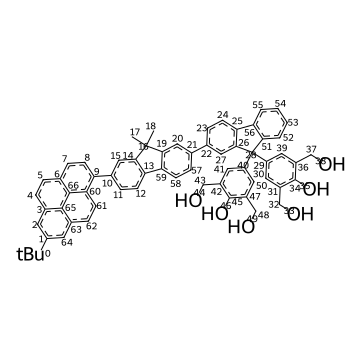 CC(C)(C)c1cc2ccc3ccc(-c4ccc5c(c4)C(C)(C)c4cc(-c6ccc7c(c6)C(c6cc(CO)c(O)c(CO)c6)(c6cc(CO)c(O)c(CO)c6)c6ccccc6-7)ccc4-5)c4ccc(c1)c2c34